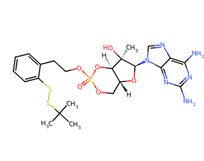 CC(C)(C)SSc1ccccc1CCOP1(=O)OC[C@H]2O[C@H](n3cnc4c(N)nc(N)nc43)[C@](C)(O)[C@@H]2O1